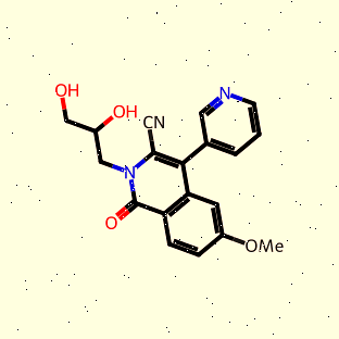 COc1ccc2c(=O)n(CC(O)CO)c(C#N)c(-c3cccnc3)c2c1